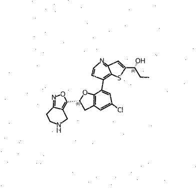 CC[C@@H](O)c1cc2nccc(-c3cc(Cl)cc4c3O[C@@H](c3onc5c3CNCC5)C4)c2s1